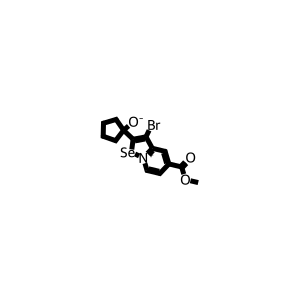 COC(=O)c1cc[n+]2[se]c(C3([O-])CCCC3)c(Br)c2c1